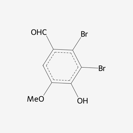 COc1cc(C=O)c(Br)c(Br)c1O